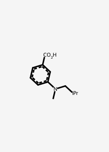 CC(C)CN(C)c1cccc(C(=O)O)c1